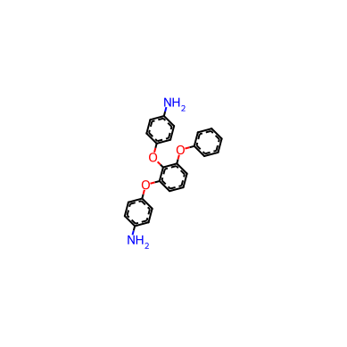 Nc1ccc(Oc2cccc(Oc3ccccc3)c2Oc2ccc(N)cc2)cc1